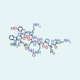 CC(C)C[C@H](NC(=O)[C@H](Cc1c[nH]c2ccccc12)NC(=O)[C@H](Cc1ccc(O)cc1)NC(=O)[C@H](CCCCN)NC(=O)[C@@H]1CCC(=O)NCC(=O)NCCC[C@H](NC(=O)[C@@H]2CCCN2C(=O)[C@H](C)NC(=O)[C@@H](N)CCCN)C(=O)N1)C(=O)O